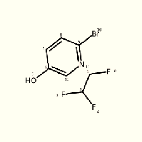 FCC(F)F.Oc1ccc(Br)nc1